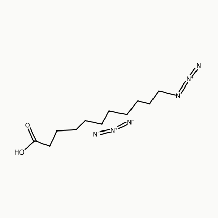 [N-]=[N+]=NCCCCCCCCCCC(=O)O.[N-]=[N+]=[N-]